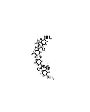 Cc1cc(NC(=O)c2ccc(N)cc2C(F)(F)F)ccc1Sc1ccc(NC(=O)c2ccc(N)cc2C(F)(F)F)cc1C